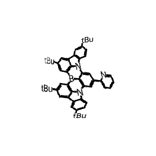 CC(C)(C)c1ccc2c(c1)c1cc(C(C)(C)C)cc3c1n2-c1cc(-c2ccccn2)cc2c1B3c1cc(C(C)(C)C)cc3c4cc(C(C)(C)C)ccc4n-2c13